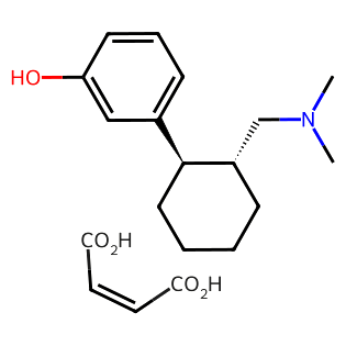 CN(C)C[C@@H]1CCCC[C@H]1c1cccc(O)c1.O=C(O)/C=C\C(=O)O